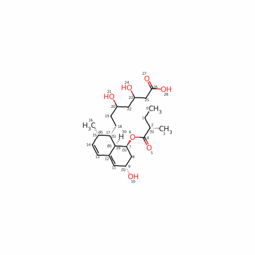 CC[C@H](C)C(=O)O[C@H]1C[C@H](O)C=C2C=C[C@H](C)[C@H](CCC(O)CC(O)CC(=O)O)[C@H]21